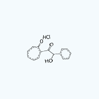 Cl.O=C(c1cccccc1=O)C(O)c1ccccc1